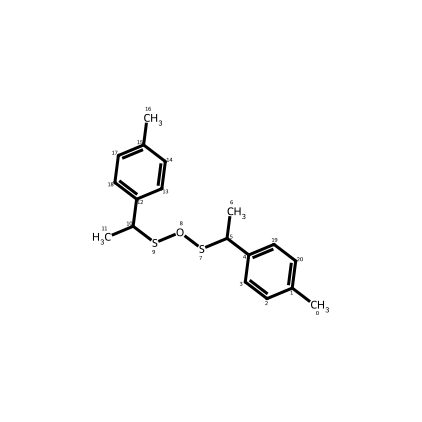 Cc1ccc(C(C)SOSC(C)c2ccc(C)cc2)cc1